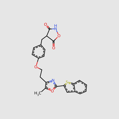 Cc1oc(-c2cc3ccccc3s2)nc1CCOc1ccc(CC2C(=O)NOC2=O)cc1